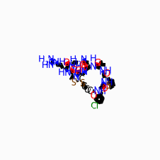 CCNC(=O)[C@@H](CCCNC(=N)N)NC(=O)[C@@H]1CSCN1C(=O)[C@@H]1CSCCCC(=O)N[C@@H](Cc2ccc(Cl)cc2)C(=O)N[C@@H](Cc2cccs2)C(=O)N[C@@H](C(C)C)C(=O)N[C@@H](CC(N)=O)C(=O)N1